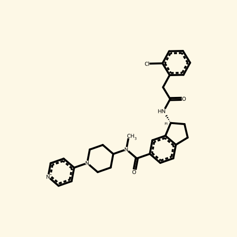 CN(C(=O)c1ccc2c(c1)[C@H](NC(=O)Cc1ccccc1Cl)CC2)C1CCN(c2ccncc2)CC1